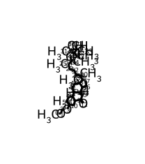 COCOC1CC[C@@]2(C)C(C1)C(=O)C=C1[C@@H]3CC[C@H]([C@H](C)CCCC(C)CO[Si](C(C)C)(C(C)C)C(C)C)[C@@]3(C)CC[C@@H]12